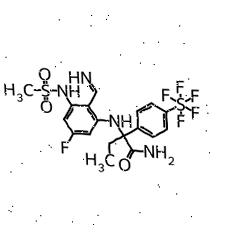 CCC(Nc1cc(F)cc(NS(C)(=O)=O)c1C=N)(C(N)=O)c1ccc(S(F)(F)(F)(F)F)cc1